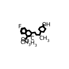 COC(=O)C1=C(C)C(CC[C@H](C)C2CCC(O)CC2)Cc2cc(F)ccc21